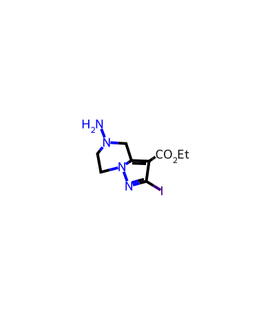 CCOC(=O)c1c(I)nn2c1CN(N)CC2